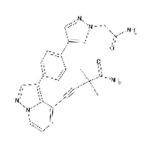 CC(C)(C#Cc1cccn2ncc(-c3ccc(-c4cnn(CC(N)=O)c4)cc3)c12)C(N)=O